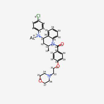 CC(=O)N(c1ccc(Cl)cc1)[C@@H]1C[C@H](C)N(C(=O)c2ccc(OCCN3CCOCC3)cc2)c2ccccc21